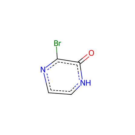 O=c1[nH]ccnc1Br